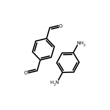 Nc1ccc(N)cc1.O=Cc1ccc(C=O)cc1